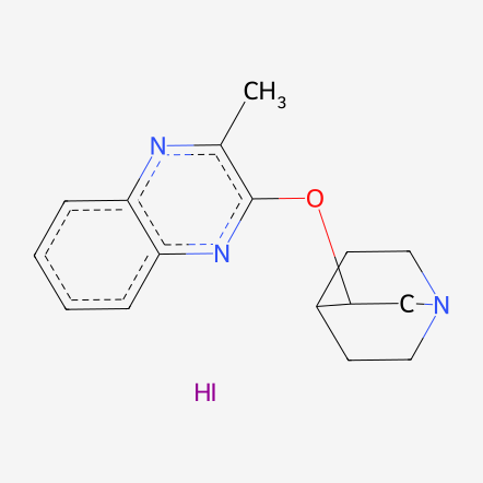 Cc1nc2ccccc2nc1OC1CN2CCC1CC2.I